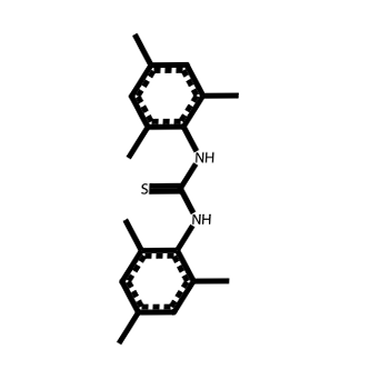 Cc1cc(C)c(NC(=S)Nc2c(C)cc(C)cc2C)c(C)c1